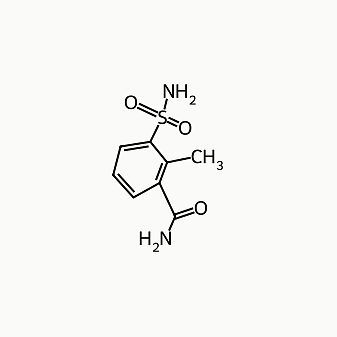 Cc1c(C(N)=O)cccc1S(N)(=O)=O